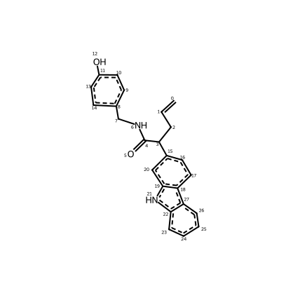 C=CCC(C(=O)NCc1ccc(O)cc1)c1ccc2c(c1)[nH]c1ccccc12